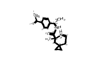 COC(=O)c1ccc([C@H](C)NC(=O)C2(C)CC3(CCN2)CC3)cc1